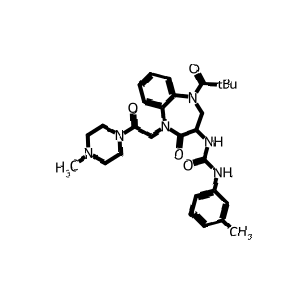 Cc1cccc(NC(=O)NC2CN(C(=O)C(C)(C)C)c3ccccc3N(CC(=O)N3CCN(C)CC3)C2=O)c1